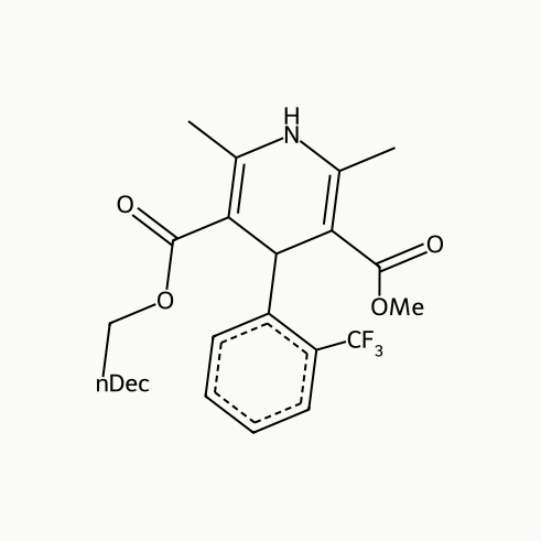 CCCCCCCCCCCOC(=O)C1=C(C)NC(C)=C(C(=O)OC)C1c1ccccc1C(F)(F)F